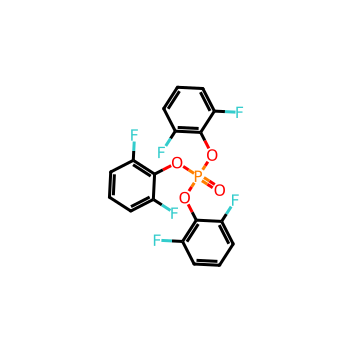 O=P(Oc1c(F)cccc1F)(Oc1c(F)cccc1F)Oc1c(F)cccc1F